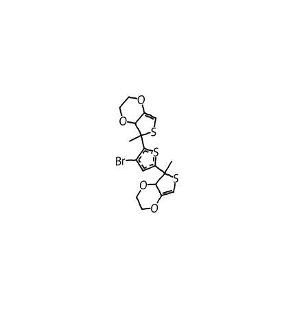 CC1(c2cc(Br)c(C3(C)SC=C4OCCOC43)s2)SC=C2OCCOC21